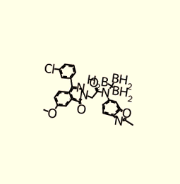 BC(B)(B)N(C(=O)Cn1nc(-c2cccc(Cl)c2)c2ccc(OC)cc2c1=O)c1ccc2nc(C)oc2c1